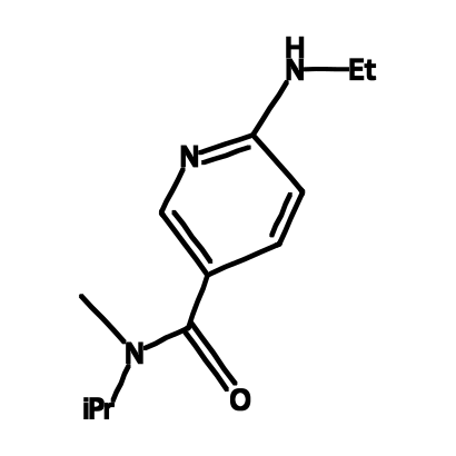 CCNc1ccc(C(=O)N(C)C(C)C)cn1